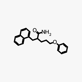 NC(=O)C(CCCOc1ccccc1)Cc1cccc2ccccc12